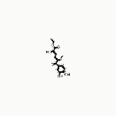 CCOC(=O)C(O)=CC=C(SC)C(=O)c1ccc(O)c(O)c1